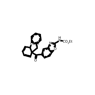 CCOC(=O)Nc1nc2cc(C(=O)C3(Cc4ccccc4)C=CC=CC3C(=O)O)ccc2o1